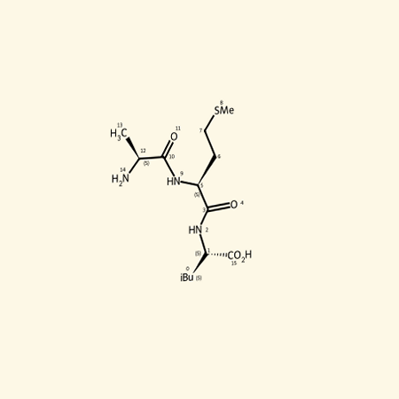 CC[C@H](C)[C@H](NC(=O)[C@H](CCSC)NC(=O)[C@H](C)N)C(=O)O